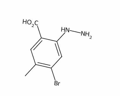 Cc1cc(C(=O)O)c(NN)cc1Br